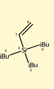 C=C[Si](C(C)CC)(C(C)CC)C(C)CC